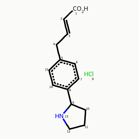 Cl.O=C(O)/C=C/Cc1ccc(C2CCCN2)cc1